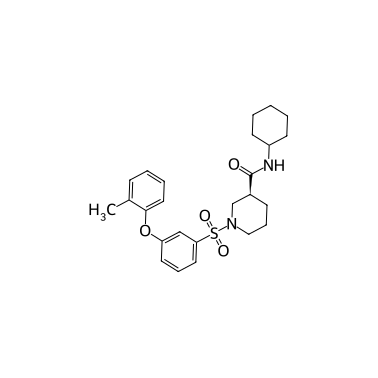 Cc1ccccc1Oc1cccc(S(=O)(=O)N2CCC[C@H](C(=O)NC3CCCCC3)C2)c1